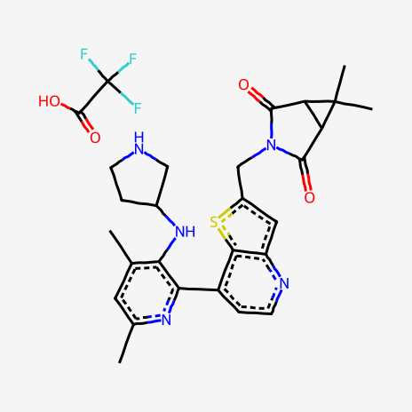 Cc1cc(C)c(NC2CCNC2)c(-c2ccnc3cc(CN4C(=O)C5C(C4=O)C5(C)C)sc23)n1.O=C(O)C(F)(F)F